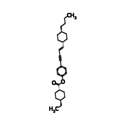 CCCC[C@H]1CC[C@H](C=CC#Cc2ccc(OC(=O)[C@H]3CC[C@H](CC)CC3)cc2)CC1